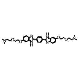 CN(C)CCOCCOc1ccc2nc(-c3ccc(-c4nc5ccc(OCCOCCN(C)C)cc5[nH]4)cc3)[nH]c2c1